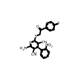 N#Cc1c(N)nc(SCC(=O)c2ccc(F)cc2)c(C#N)c1-c1ccccc1[N+](=O)[O-]